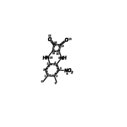 Cc1cc2c(c([N+](=O)[O-])c1C)Nc1c(c(=O)c1=O)N2